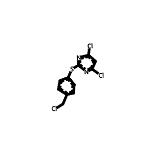 ClCc1ccc(Sc2nc(Cl)cc(Cl)n2)cc1